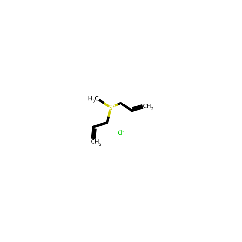 C=CC[S+](C)CC=C.[Cl-]